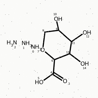 N.N.N.O=C(O)C1OCC(O)C(O)C1O